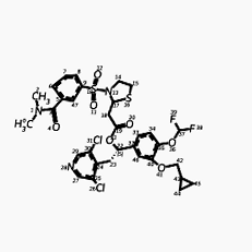 CN(C)C(=O)c1cccc(S(=O)(=O)N2CCSC2CC(=O)O[C@@H](Cc2c(Cl)cncc2Cl)c2ccc(OC(F)F)c(OCC3CC3)c2)c1